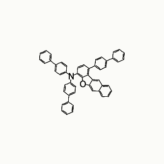 c1ccc(-c2ccc(-c3ccc(N(c4ccc(-c5ccccc5)cc4)c4ccc(-c5ccccc5)cc4)c4oc5cc6ccccc6cc5c34)cc2)cc1